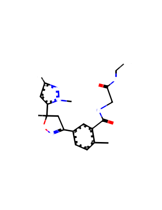 Cc1ccc(C2=NOC(c3cc(C(F)(F)F)nn3C)(C(F)(F)F)C2)cc1C(=O)NCC(=O)NCC(F)(F)F